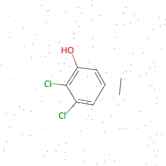 CC.Oc1cccc(Cl)c1Cl